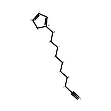 C#CCCCCCCCCC1=CC=CC1